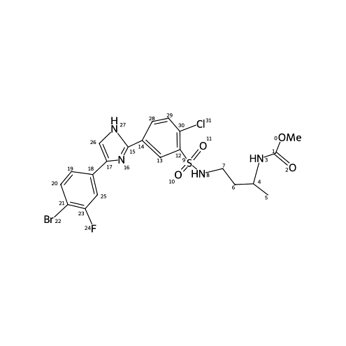 COC(=O)NC(C)CCNS(=O)(=O)c1cc(-c2nc(-c3ccc(Br)c(F)c3)c[nH]2)ccc1Cl